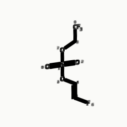 O=S(=O)(OC=CF)OCC(F)(F)F